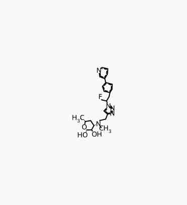 C[C@@H]1C[C@H](N(C)CCc2cn(C(CF)Cc3ccc(-c4cccnc4)cc3)nn2)C(O)[C@H](O)O1